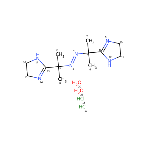 CC(C)(N=NC(C)(C)C1=NCCN1)C1=NCCN1.Cl.Cl.O.O